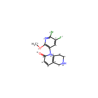 COc1nc(Br)c(F)cc1-n1c2c(ccc1=O)CNCC2